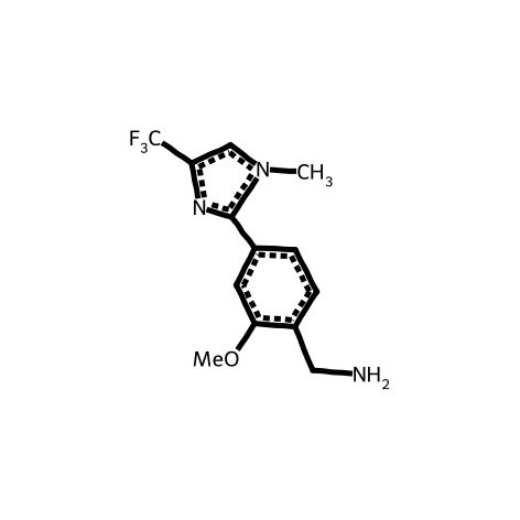 COc1cc(-c2nc(C(F)(F)F)cn2C)ccc1CN